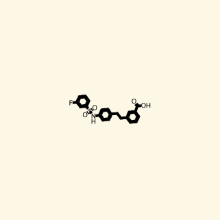 O=C(O)c1cccc(CCc2ccc(NS(=O)(=O)c3cccc(F)c3)cc2)c1